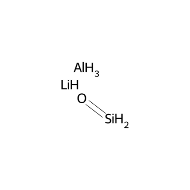 O=[SiH2].[AlH3].[LiH]